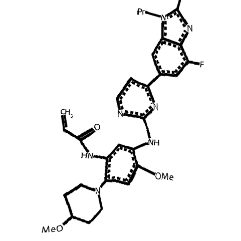 C=CC(=O)Nc1cc(Nc2nccc(-c3cc(F)c4nc(C)n(C(C)C)c4c3)n2)c(OC)cc1N1CCC(OC)CC1